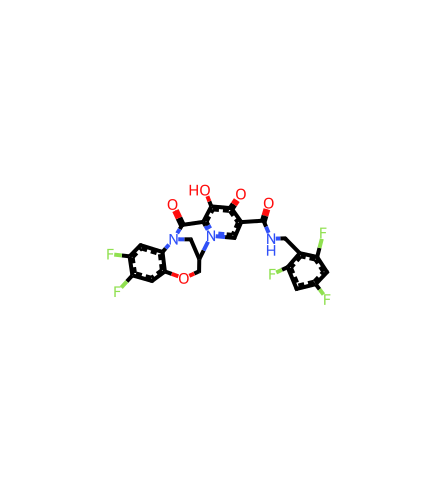 O=C(NCc1c(F)cc(F)cc1F)c1cn2c(c(O)c1=O)C(=O)N1CC2COc2cc(F)c(F)cc21